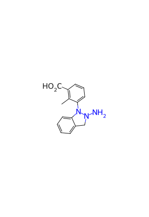 Cc1c(C(=O)O)cccc1N1c2ccccc2CN1N